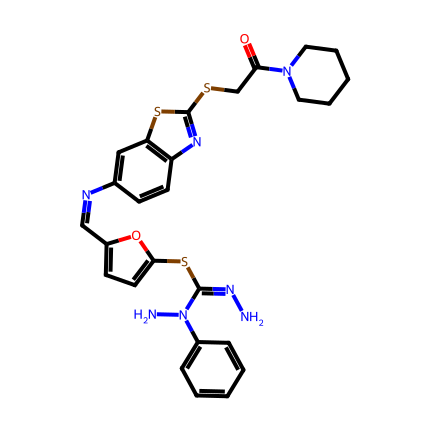 N/N=C(/Sc1ccc(/C=N\c2ccc3nc(SCC(=O)N4CCCCC4)sc3c2)o1)N(N)c1ccccc1